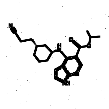 CC(C)OC(=O)c1cnc2[nH]ccc2c1N[C@@H]1CCC[C@H](CCC#N)C1